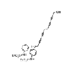 CCOC(=O)Nc1ccccc1.CCOC(=O)Nc1ccccc1.OCC#CC#CCCC#CC#CCO